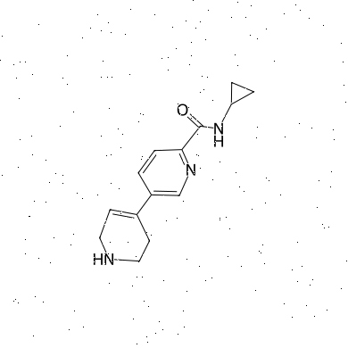 O=C(NC1CC1)c1ccc(C2=CCNCC2)cn1